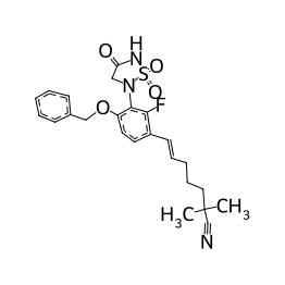 CC(C)(C#N)CCCC=Cc1ccc(OCc2ccccc2)c(N2CC(=O)NS2(=O)=O)c1F